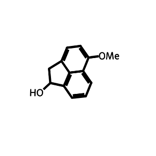 COc1ccc2c3c(cccc13)C(O)C2